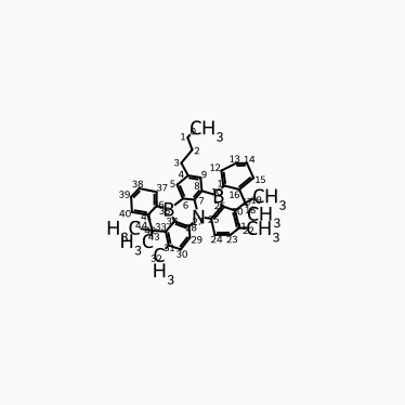 CCCCc1cc2c3c(c1)B1c4ccccc4C(C)(C)c4c(C)ccc(c41)N3c1ccc(C)c3c1B2c1ccccc1C3(C)C